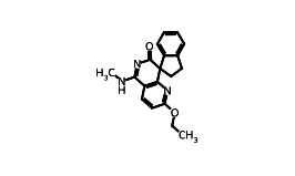 CCOc1ccc2c(n1)C1(CCc3ccccc31)C(=O)N=C2NC